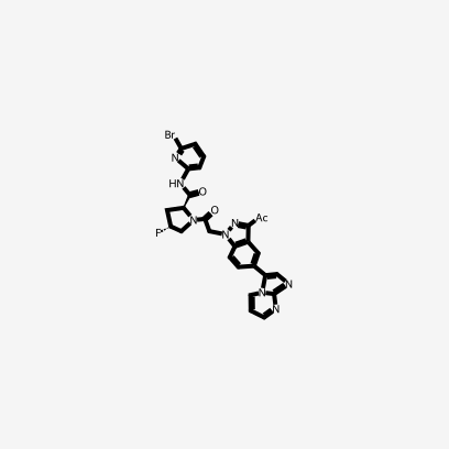 CC(=O)c1nn(CC(=O)N2C[C@H](F)C[C@H]2C(=O)Nc2cccc(Br)n2)c2ccc(-c3cnc4ncccn34)cc12